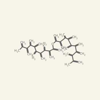 C=C(C)C(=C)C(=C)C(=C)C(=C)C(=C)C(=C)C(=C)C(=C)OC(=C)C(=C)C(=C)C(=C)C(=C)C(=C)C(=C)C(=C)C(=C)C